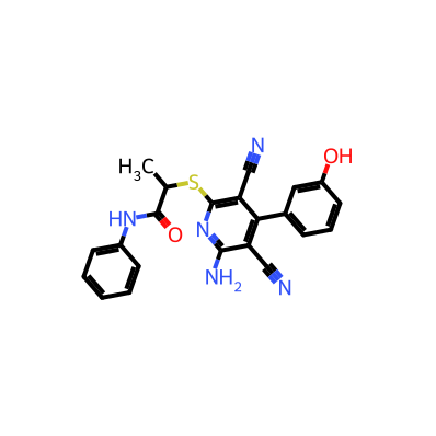 CC(Sc1nc(N)c(C#N)c(-c2cccc(O)c2)c1C#N)C(=O)Nc1ccccc1